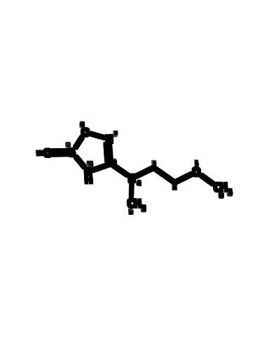 COCCN(C)C1=NOS(=O)N1